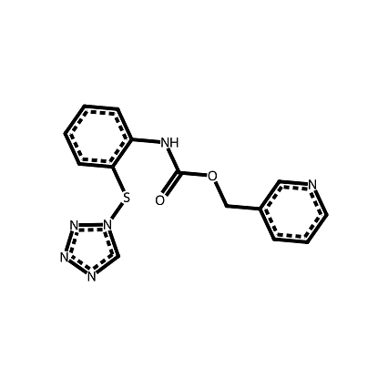 O=C(Nc1ccccc1Sn1cnnn1)OCc1cccnc1